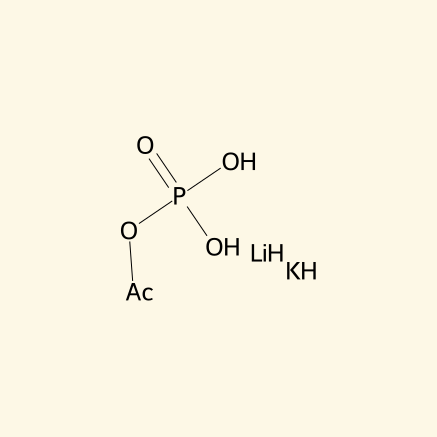 CC(=O)OP(=O)(O)O.[KH].[LiH]